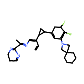 C=C/C(=C\N=C(/C)C1=NCCC=N1)C1CC1C1=CC(N2CC3(CCCCC3)C2)=C(F)C(F)C1